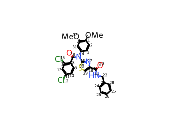 COc1ccc(N(C(=O)c2ccc(Cl)cc2Cl)c2nc(C(=O)NCc3ccccc3)cs2)cc1OC